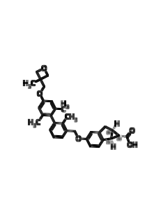 Cc1cc(OCC2(C)COC2)cc(C)c1-c1cccc(COc2ccc3c(c2)C[C@H]2[C@H](C(=O)O)[C@@H]32)c1C